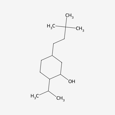 CC(C)C1CCC(CCC(C)(C)C)CC1O